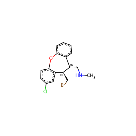 CNC[C@H]1c2ccccc2Oc2ccc(Cl)cc2[C@@H]1CBr